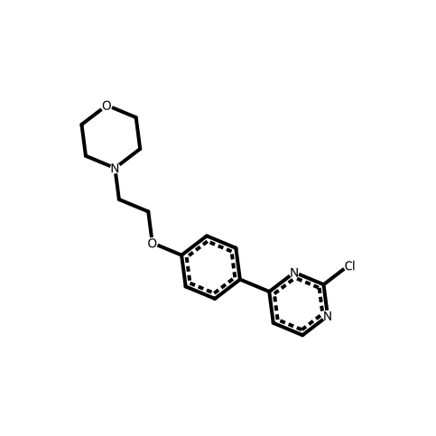 Clc1nccc(-c2ccc(OCCN3CCOCC3)cc2)n1